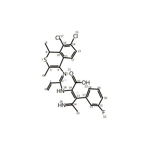 C=C/C(=N\C1=C(C)SC(C)c2c1ccc(Cl)c2Cl)N/C(C(=O)O)=C(\C(C)=N)c1cccc(F)c1